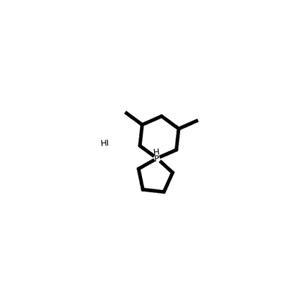 CC1CC(C)C[PH]2(CCCC2)C1.I